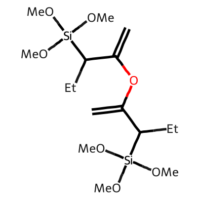 C=C(OC(=C)C(CC)[Si](OC)(OC)OC)C(CC)[Si](OC)(OC)OC